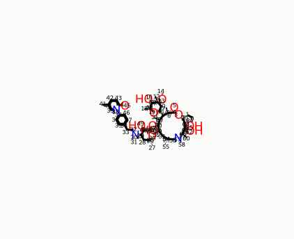 CC[C@H]1OC(=O)[C@H](C)C([C@H]2C[C@@](C)(OC)[C@@H](O)[C@H](C)O2)[C@H](C)[C@@H](O[C@@H]2O[C@H](C)C[C@H](N(C)CCc3ccc(-n4cc(C)ccc4=O)cc3)[C@H]2O)[C@](C)(O)C[C@@H](C)CN(C)[C@H](C)[C@@H](O)[C@]1(C)O